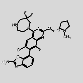 CN1CCC[C@H]1COc1nc(N2CCNCC(F)(F)C2)c2cc(Cl)c(-c3cccc4nc(N)oc34)c(F)c2n1